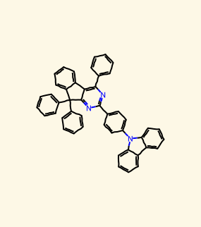 c1ccc(-c2nc(-c3ccc(-n4c5ccccc5c5ccccc54)cc3)nc3c2-c2ccccc2C3(c2ccccc2)c2ccccc2)cc1